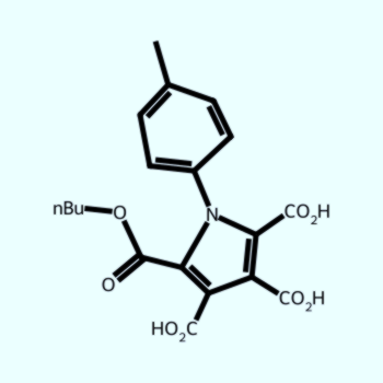 CCCCOC(=O)c1c(C(=O)O)c(C(=O)O)c(C(=O)O)n1-c1ccc(C)cc1